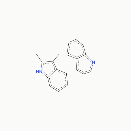 Cc1[nH]c2ccccc2c1C.c1ccc2ncccc2c1